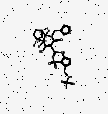 CS(=O)(=O)NCc1csc2c1S(=O)(=O)N=C(C1=C(O)[C@@H]3[C@H]4CC[C@H](C4)[C@@H]3N(Cc3ccsc3)C1=O)N2